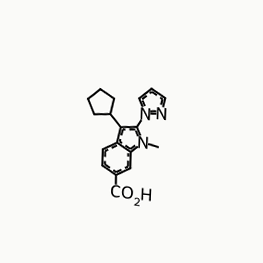 Cn1c(-n2cccn2)c(C2CCCC2)c2ccc(C(=O)O)cc21